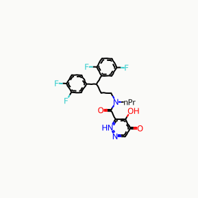 CCCN(CCC(c1ccc(F)c(F)c1)c1cc(F)ccc1F)C(=O)c1[nH]ncc(=O)c1O